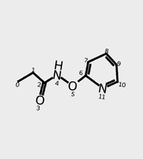 CCC(=O)NOc1ccccn1